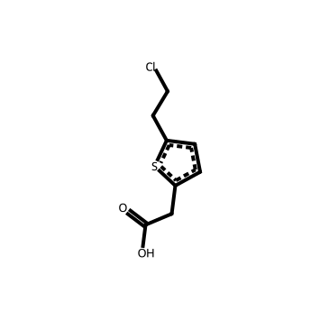 O=C(O)Cc1ccc(CCCl)s1